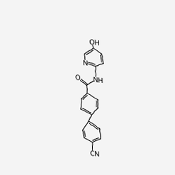 N#Cc1ccc(-c2ccc(C(=O)Nc3ccc(O)cn3)cc2)cc1